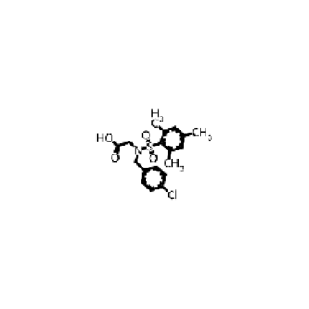 Cc1cc(C)c(S(=O)(=O)N(CC(=O)O)Cc2ccc(Cl)cc2)c(C)c1